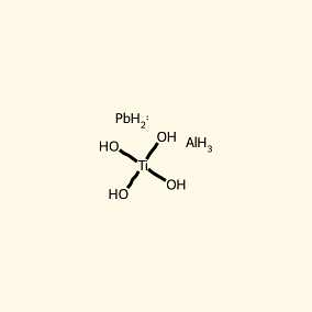 [AlH3].[OH][Ti]([OH])([OH])[OH].[PbH2]